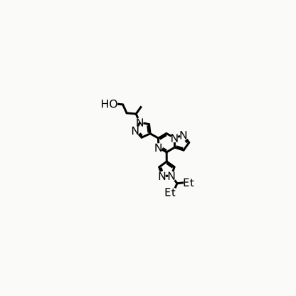 CCC(CC)n1cc(-c2nc(-c3cnn(C(C)CCO)c3)cn3nccc23)cn1